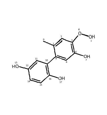 Cc1cc(OO)c(O)cc1-c1cc(O)ccc1O